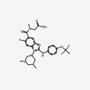 CC1C[C@@H](C)C[C@@H](n2c(Nc3ccc(OC(F)(F)F)cc3)nc3cc(C(=O)N(C)CC(=O)O)c(F)cc32)C1